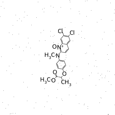 COC(=O)C(C)Oc1ccc(N(C)c2ccc3cc(Cl)c(Cl)cc3[n+]2[O-])cc1